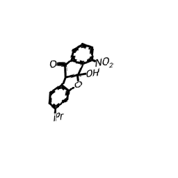 CC(C)c1ccc2c(c1)OC1(O)c3c(cccc3[N+](=O)[O-])C(=O)C21